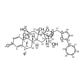 C[C@]12C=CC(=O)C=C1[C@@H](F)C[C@H]1[C@@H]3C[C@H]4CN(Cc5ccc(-c6ccccc6)o5)O[C@@]4(C(=O)CO)[C@@]3(C)C[C@H](O)[C@@]12F